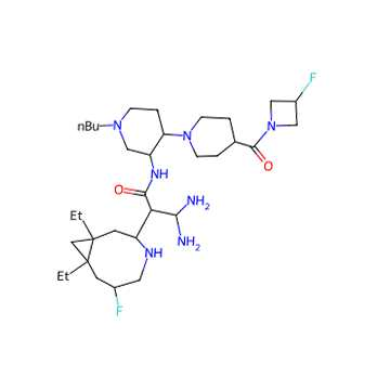 CCCCN1CCC(N2CCC(C(=O)N3CC(F)C3)CC2)C(NC(=O)C(C(N)N)C2CC3(CC)CC3(CC)CC(F)CN2)C1